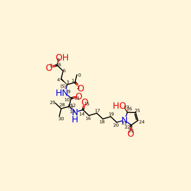 CC(=O)[C@H](CCC(=O)O)NC(=O)[C@@H](NC(=O)CCCCCN1C(=O)C=CC1O)C(C)C